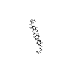 CCCCc1ccc(-c2ccc(C(=O)Oc3ccc(CCCC)cc3F)cc2)nc1